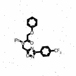 CC(C)N(Cc1nc(-c2ccc(C(F)(F)F)cc2)no1)C(=O)COc1ccccc1